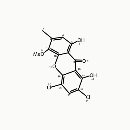 COc1c(C)cc(O)c2c(=O)c3c(O)c(Cl)cc(Cl)c3oc12